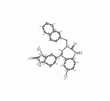 CCN1C(=O)C(Cc2ccc3ccccc3c2)N=C(c2ccc3[nH]c(=O)n(CC)c3c2)c2cc(Cl)ccc21